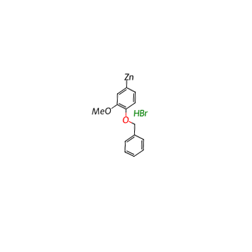 Br.COc1c[c]([Zn])ccc1OCc1ccccc1